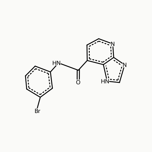 O=C(Nc1cccc(Br)c1)c1ccnc2nc[nH]c12